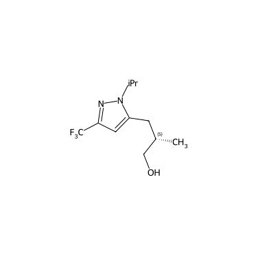 CC(C)n1nc(C(F)(F)F)cc1C[C@H](C)CO